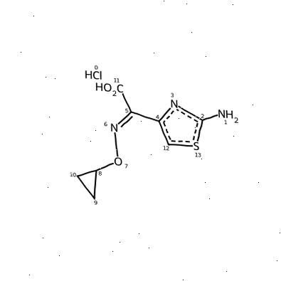 Cl.Nc1nc(/C(=N\OC2CC2)C(=O)O)cs1